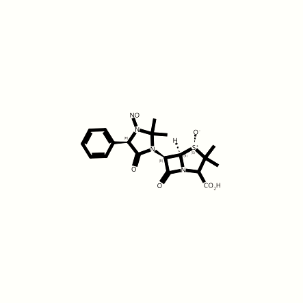 CC1(C)N(N=O)[C@H](c2ccccc2)C(=O)N1[C@@H]1C(=O)N2C(C(=O)O)C(C)(C)[S@@+]([O-])[C@H]12